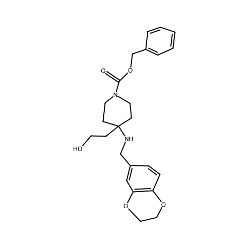 O=C(OCc1ccccc1)N1CCC(CCO)(NCc2ccc3c(c2)OCCO3)CC1